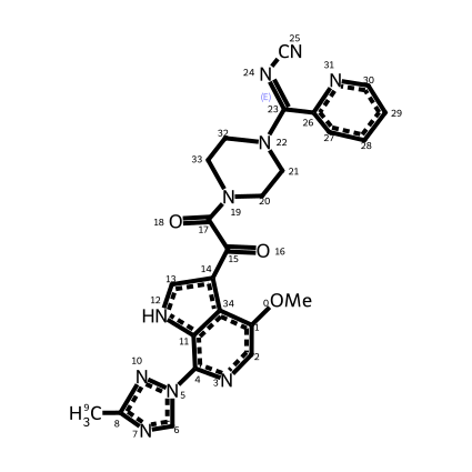 COc1cnc(-n2cnc(C)n2)c2[nH]cc(C(=O)C(=O)N3CCN(/C(=N/C#N)c4ccccn4)CC3)c12